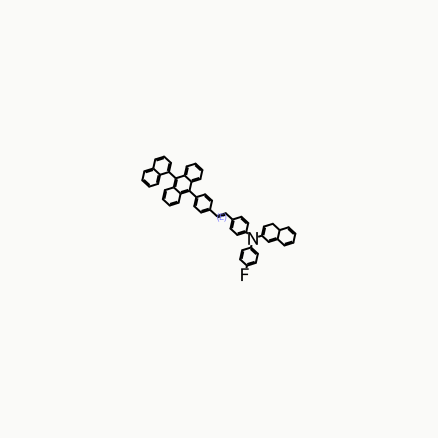 Fc1ccc(N(C2=CCC3C=CC=CC3=C2)c2ccc(/C=C/c3ccc(-c4c5ccccc5c(-c5cccc6ccccc56)c5ccccc45)cc3)cc2)cc1